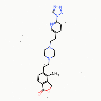 Cc1c(CCN2CCN(CCc3ccc(-n4cnnn4)nc3)CC2)ccc2c1COC2=O